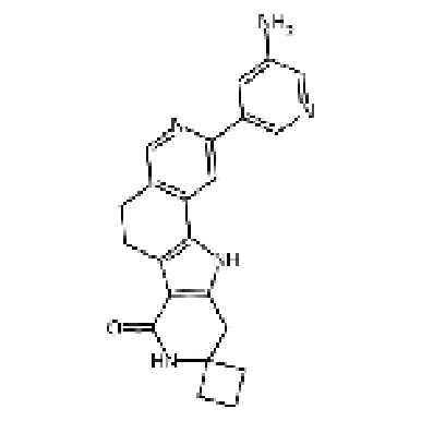 Nc1cncc(-c2cc3c(cn2)CCc2c-3[nH]c3c2C(=O)NC2(CCC2)C3)c1